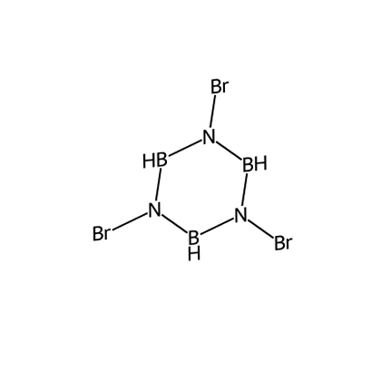 BrN1BN(Br)BN(Br)B1